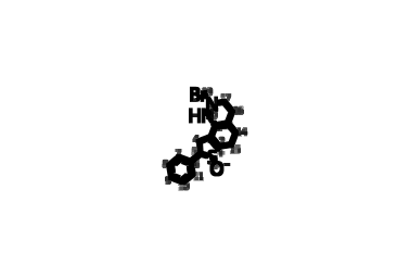 [O-][S+]1C2=C(CC1c1ccccc1)C1=C(CC2)CCN(Br)N1